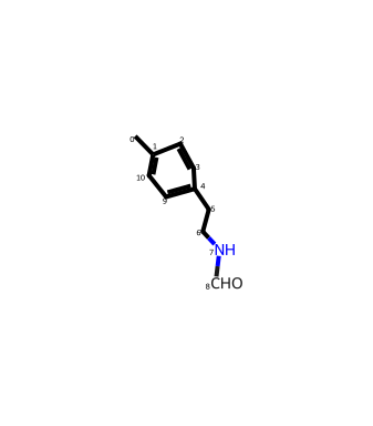 Cc1ccc(CCNC=O)cc1